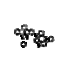 c1ccc(-c2nc(-c3ccccc3)nc(-c3cc(-n4c5ccc6sc7ccc8c9ccccc9n9c%10cccc4c%10c5c6c7c89)ccc3-c3ccccc3)n2)cc1